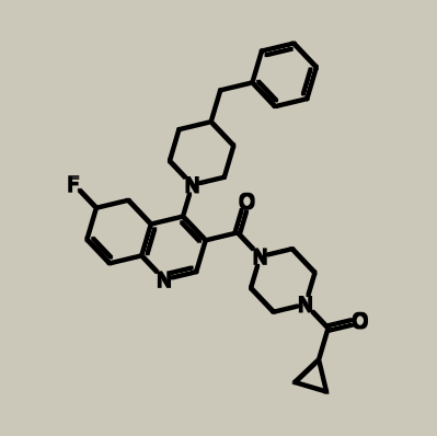 O=C(c1cnc2c(c1N1CCC(Cc3ccccc3)CC1)CC(F)C=C2)N1CCN(C(=O)C2CC2)CC1